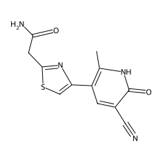 Cc1[nH]c(=O)c(C#N)cc1-c1csc(CC(N)=O)n1